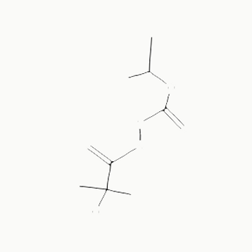 CC(C)OC(=S)SSC(=S)C(C)(C)O